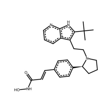 CC(C)(C)c1[nH]c2ncccc2c1CCN1CCC[C@H]1c1ccc(/C=C/C(=O)NO)cc1